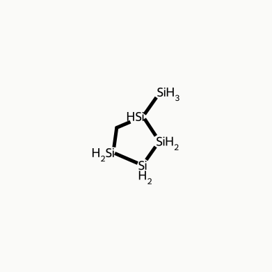 [SiH3][SiH]1C[SiH2][SiH2][SiH2]1